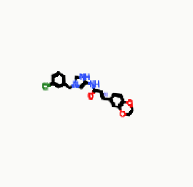 O=C(/C=C/c1ccc2c(c1)OCCO2)NC1=CN(Cc2cccc(Cl)c2)CN1